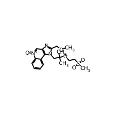 COCc1nc2c[n+]([O-])c3ccccc3c2n1CC(C)(C)OCCS(C)(=O)=O